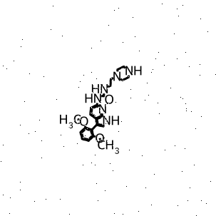 COc1cccc(OC)c1-c1c[nH]c2nc(NC(=O)NCCN3CCNCC3)ccc12